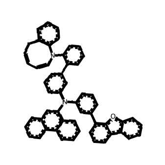 C1=C\Cc2ccccc2N(c2ccccc2-c2cccc(N(c3cccc(-c4cccc5c4oc4ccccc45)c3)c3cc4ccccc4c4ccccc34)c2)\C=C/1